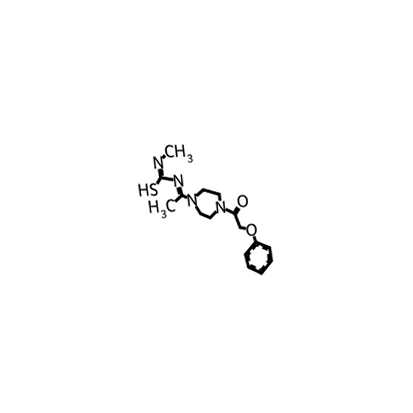 C/N=C(S)\N=C(/C)N1CCN(C(=O)COc2ccccc2)CC1